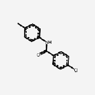 Cc1ccc(NC(=O)c2ccc(Cl)cc2)cc1